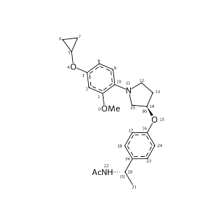 COc1cc(OC2CC2)ccc1N1CC[C@@H](Oc2ccc([C@H](C)NC(C)=O)cc2)C1